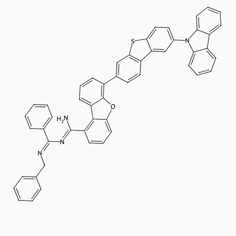 N/C(=N\C(=N/Cc1ccccc1)c1ccccc1)c1cccc2oc3c(-c4ccc5c(c4)sc4ccc(-n6c7ccccc7c7ccccc76)cc45)cccc3c12